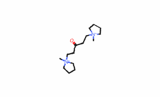 C[N+]1(CCC(=O)CC[N+]2(C)CCCC2)CCCC1